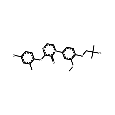 COc1cc(-n2ccnc(Sc3ccc(Cl)cc3C)c2=O)ccc1OCC(C)(C)O